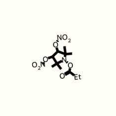 CCC(=O)ON1C(C)(C)C(O[N+](=O)[O-])C(O[N+](=O)[O-])C1(C)C